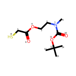 CN(CCOC(=O)CS)C(=O)OC(C)(C)C